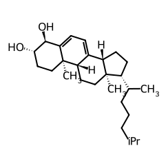 CC(C)CCCC(C)[C@H]1CC[C@H]2C3=CC=C4[C@H](O)[C@@H](O)CC[C@]4(C)[C@H]3CC[C@]12C